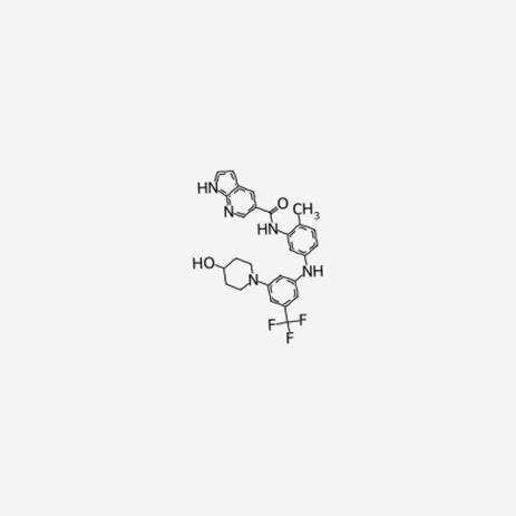 Cc1ccc(Nc2cc(N3CCC(O)CC3)cc(C(F)(F)F)c2)cc1NC(=O)c1cnc2[nH]ccc2c1